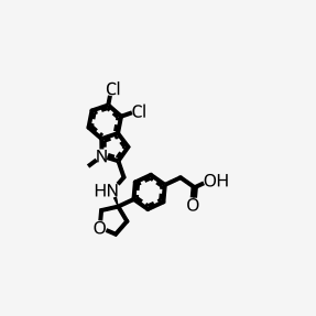 Cn1c(CN[C@@]2(c3ccc(CC(=O)O)cc3)CCOC2)cc2c(Cl)c(Cl)ccc21